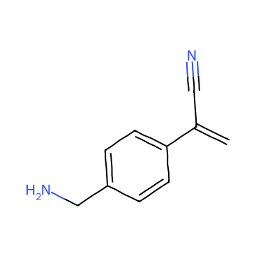 C=C(C#N)c1ccc(CN)cc1